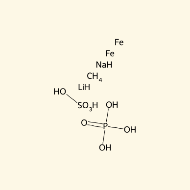 C.O=P(O)(O)O.O=S(=O)(O)O.[Fe].[Fe].[LiH].[NaH]